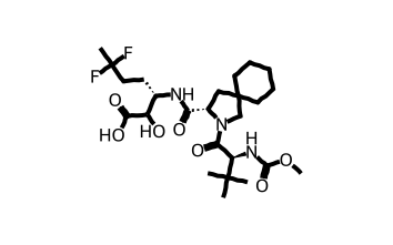 COC(=O)N[C@H](C(=O)N1CC2(CCCCC2)C[C@H]1C(=O)N[C@@H](CCC(C)(F)F)C(O)C(=O)O)C(C)(C)C